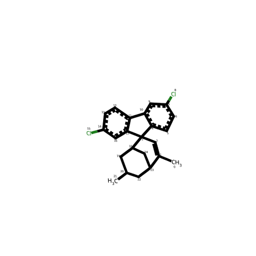 CC1=CC2(c3ccc(Cl)cc3-c3ccc(Cl)cc32)C2CC(C)CC1C2